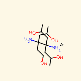 CC(O)CC(N)(CCO)C(N)(CC(C)O)CC(C)O.[Zr]